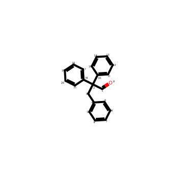 O=[C]C(Cc1ccccc1)(c1ccccc1)c1ccccc1